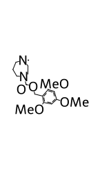 COc1cc(OC)c(COC(=O)N2CCC[N]CC2)c(OC)c1